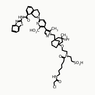 CCCC1(C)CC2(Cn3ncc(-c4ccc(N5CCc6cccc(C(=O)Nc7nc8ccccc8s7)c6C5)nc4C(=O)O)c3C)CCCC(OCCN(CCS(=O)(=O)O)C(=O)CCCCCNC(=O)CCl)(C1)C2